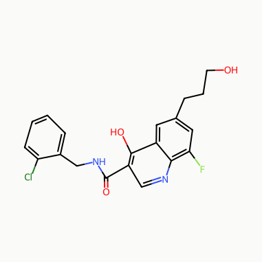 O=C(NCc1ccccc1Cl)c1cnc2c(F)cc(CCCO)cc2c1O